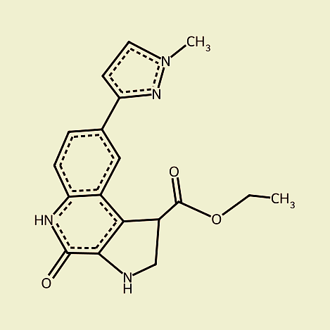 CCOC(=O)C1CNc2c1c1cc(-c3ccn(C)n3)ccc1[nH]c2=O